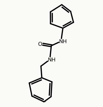 O=C(NCc1cc[c]cc1)Nc1ccccc1